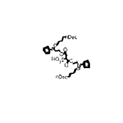 CCCCCCCCCCCCCCON(CCOC(=O)CC(C(=O)OCCN(OCCCCCCCCCCCCCC)c1ccccc1)S(=O)(=O)O)c1ccccc1